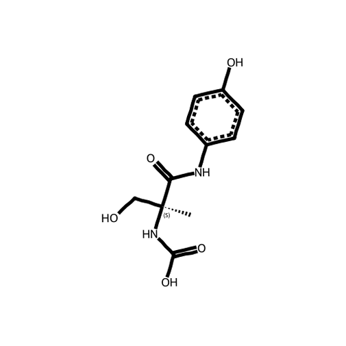 C[C@@](CO)(NC(=O)O)C(=O)Nc1ccc(O)cc1